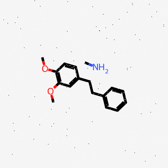 CN.COc1ccc(CCc2ccccc2)cc1OC